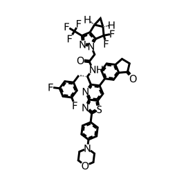 O=C(Cn1nc(C(F)(F)F)c2c1C(F)(F)[C@@H]1C[C@H]21)N[C@@H](Cc1cc(F)cc(F)c1)c1nc2nc(-c3ccc(N4CCOCC4)cc3)sc2cc1-c1ccc2c(c1)C(=O)CC2